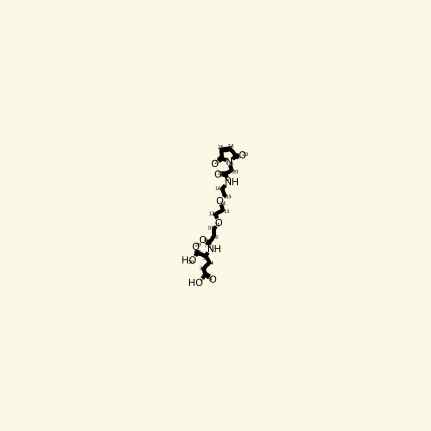 O=C(O)CCC(NC(=O)CCOCCOCCNC(=O)CN1C(=O)C=CC1=O)C(=O)O